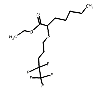 CCCCCC(SCCCC(F)(F)C(F)(F)F)C(=O)OCC